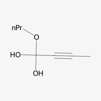 CC#CC(O)(O)OCCC